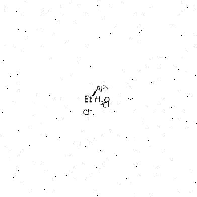 C[CH2][Al+2].O.[Cl-].[Cl-]